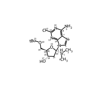 C[SiH](C)[C@]1(n2cnc3c(N)nc(Cl)nc32)C[C@H](O)[C@@H](COC(C)(C)C)O1